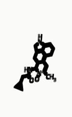 CC1=CC2=C3CCC=C4NCC(=C43)CC2C(NC(=O)CC2CC2)[N+]1=O